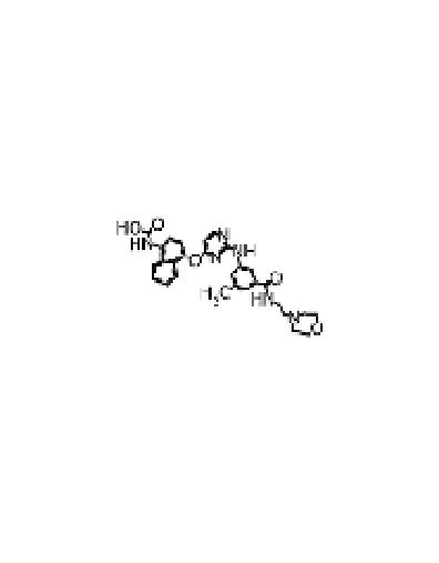 Cc1cc(Nc2nccc(Oc3ccc(NC(=O)O)c4ccccc34)n2)cc(C(=O)NCCN2CCOCC2)c1